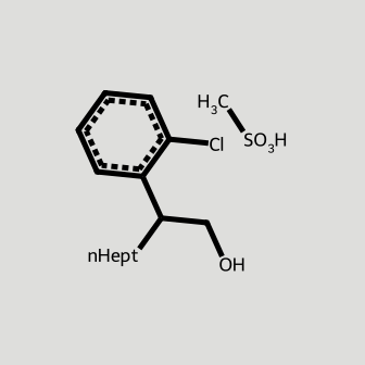 CCCCCCCC(CO)c1ccccc1Cl.CS(=O)(=O)O